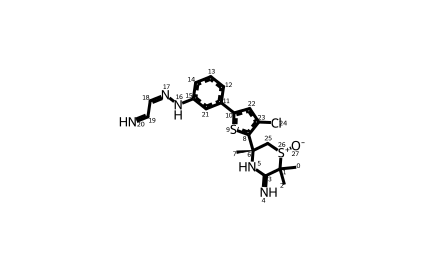 CC1(C)C(=N)N[C@](C)(c2sc(-c3cccc(N/N=C\C=N)c3)cc2Cl)C[S+]1[O-]